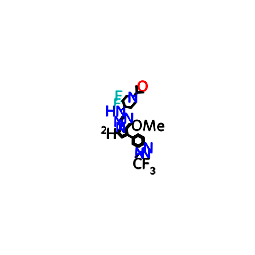 [2H]c1cc(-c2ccc3nnn(CC(F)(F)F)c3c2)c2c(OC)nc(N[C@@H]3CCN(C4COC4)CC3(F)F)nn12